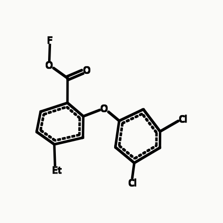 CCc1ccc(C(=O)OF)c(Oc2cc(Cl)cc(Cl)c2)c1